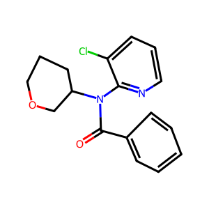 O=C(c1ccccc1)N(c1ncccc1Cl)C1CCCOC1